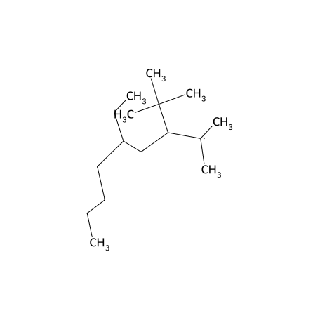 CCCCC(CC)CC([C](C)C)C(C)(C)C